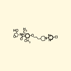 Cc1cc(OCCCC2CCN(c3ncc(Cl)cn3)CC2)cc(C)c1C(=O)N[C@@H]1COC[C@H]1O